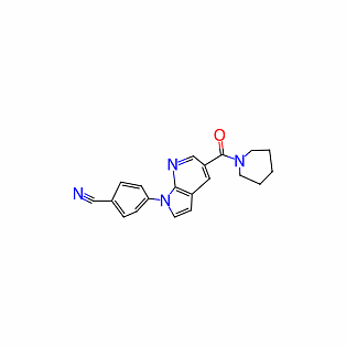 N#Cc1ccc(-n2ccc3cc(C(=O)N4CCCCC4)cnc32)cc1